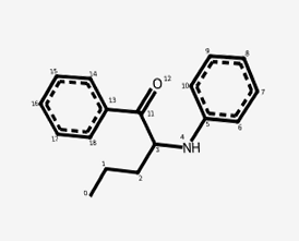 CCC[C](Nc1ccccc1)C(=O)c1ccccc1